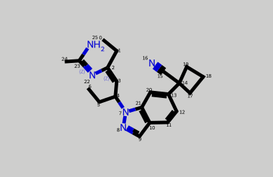 CCC(=C/C(CC)n1ncc2ccc(C3(C#N)CCC3)cc21)/N=C(/C)N